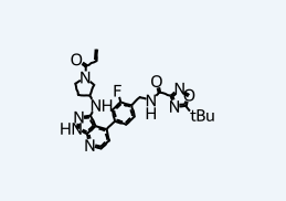 C=CC(=O)N1CCC(Nc2n[nH]c3nccc(-c4ccc(CNC(=O)c5noc(C(C)(C)C)n5)c(F)c4)c23)C1